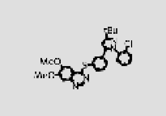 COc1cc2ncnc(Sc3cccc(-c4cc(C(C)(C)C)nn4-c4ccccc4Cl)c3)c2cc1OC